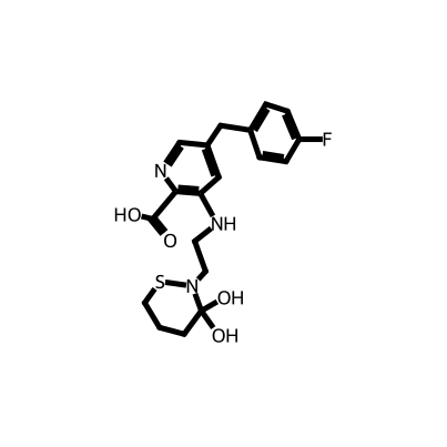 O=C(O)c1ncc(Cc2ccc(F)cc2)cc1NCCN1SCCCC1(O)O